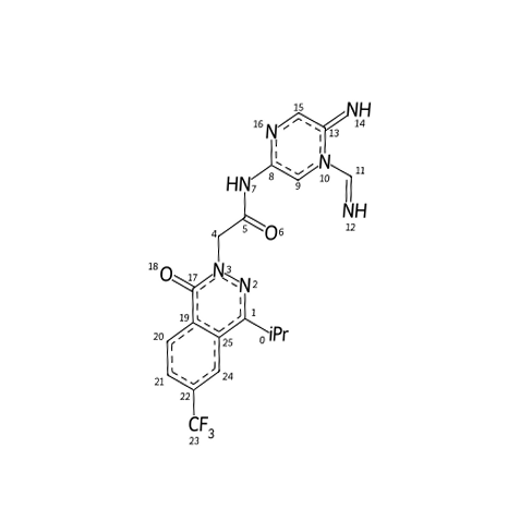 CC(C)c1nn(CC(=O)Nc2cn(C=N)c(=N)cn2)c(=O)c2ccc(C(F)(F)F)cc12